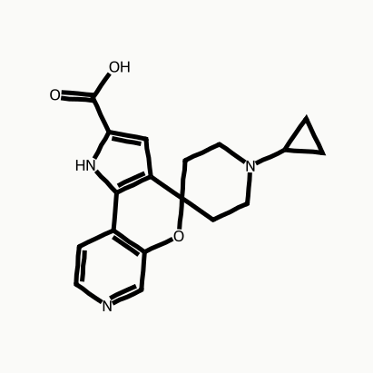 O=C(O)c1cc2c([nH]1)-c1ccncc1OC21CCN(C2CC2)CC1